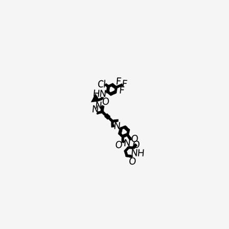 O=C1CCC(N2C(=O)c3ccc(N4CC(C#Cc5cnn(C6(C(=O)Nc7ccc(C(F)(F)F)cc7Cl)CC6)c5)C4)cc3C2=O)C(=O)N1